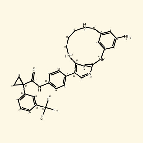 Nc1cc2cc(c1)SNCCCNc1nc(ncc1-c1ccc(NC(=O)C3(c4cccc(C(F)(F)F)c4)CC3)cc1)N2